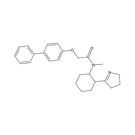 CN(C(=O)COc1ccc(-c2ccccc2)cc1)C1CCCCC1C1=NCCC1